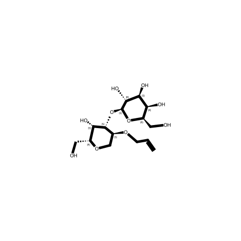 C=CCO[C@H]1CO[C@H](CO)[C@H](O)[C@@H]1O[C@@H]1O[C@H](CO)[C@H](O)[C@H](O)[C@H]1O